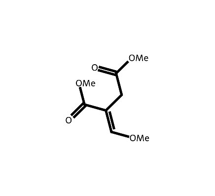 CO/C=C(\CC(=O)OC)C(=O)OC